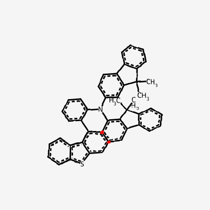 CC1(C)c2ccccc2-c2ccc(N(c3ccccc3-c3cccc4sc5ccccc5c34)c3cccc4c3C(C)(C)c3ccccc3-4)cc21